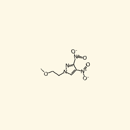 COCCn1cc([N+](=O)[O-])c([N+](=O)[O-])n1